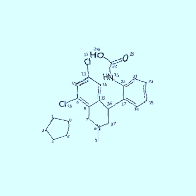 C1CCCC1.CN1Cc2c(Cl)cc(Cl)cc2C(c2ccccc2NC(=O)O)C1